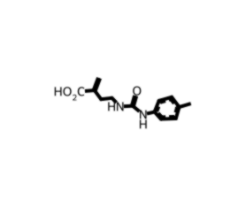 C=C(CCNC(=O)Nc1ccc(C)cc1)C(=O)O